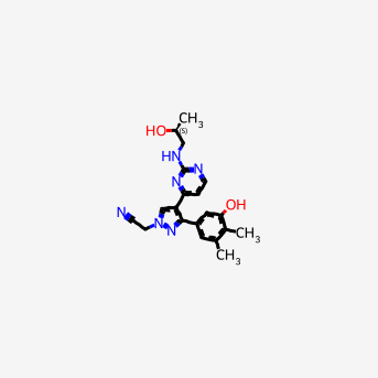 Cc1cc(-c2nn(CC#N)cc2-c2ccnc(NC[C@H](C)O)n2)cc(O)c1C